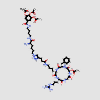 CC(=O)Oc1cc(C(=O)NCCCCNC(=O)C(N)CCCCn2cc(CCC(=O)NCCCC[C@@H]3NC(=O)[C@@H](Cc4ccccc4)NC(=O)[C@H](OC(C)=O)NC(=O)CNC(=O)[C@H](CCCNC(=N)N)NC3=O)nn2)cc(OC(C)=O)c1OC(C)=O